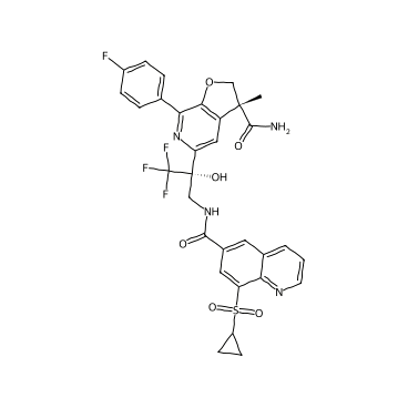 C[C@]1(C(N)=O)COc2c1cc([C@@](O)(CNC(=O)c1cc(S(=O)(=O)C3CC3)c3ncccc3c1)C(F)(F)F)nc2-c1ccc(F)cc1